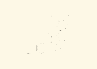 COc1ccc(N2C(=S)N(c3cnc(C)c(C(F)(F)F)c3)C(=O)C23CCC3)cn1